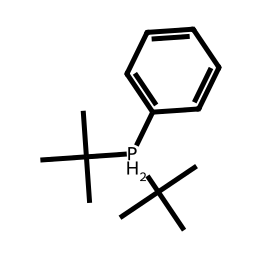 CC(C)(C)[PH2](c1ccccc1)C(C)(C)C